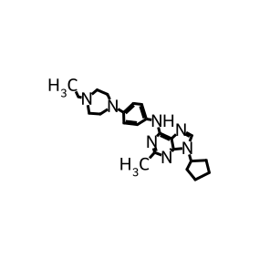 CCN1CCN(c2ccc(Nc3nc(C)nc4c3ncn4C3CCCC3)cc2)CC1